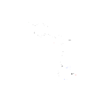 CCOC(=O)c1cc(-c2ccc(Cl)cc2)oc1C=Cc1cc(C(F)(F)F)[nH]c(=O)n1